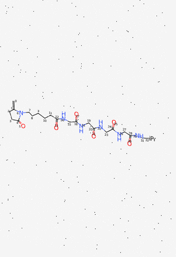 C=C1CCC(=O)N1CCCCCC(=O)NCC(=O)NCC(=O)NCC(=O)NCC(=O)NCC(C)C